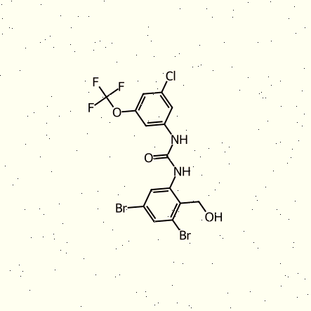 O=C(Nc1cc(Cl)cc(OC(F)(F)F)c1)Nc1cc(Br)cc(Br)c1CO